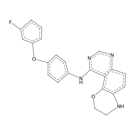 Fc1cccc(Oc2ccc(Nc3ncnc4ccc5c(c34)OCCN5)cc2)c1